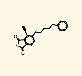 C#Cc1c(CCCCCc2ccccc2)ccc2c1C(=O)OC2=O